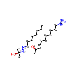 CC(C)=O.CCCCCCCCN=NC(C)(C)O.CCCCCCCCNN